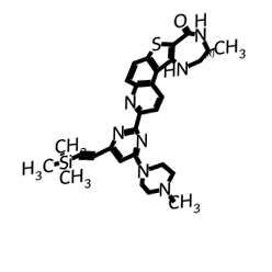 C[C@@H]1CNc2c(sc3ccc4nc(-c5nc(C#C[Si](C)(C)C)cc(N6CCN(C)CC6)n5)ccc4c23)C(=O)N1